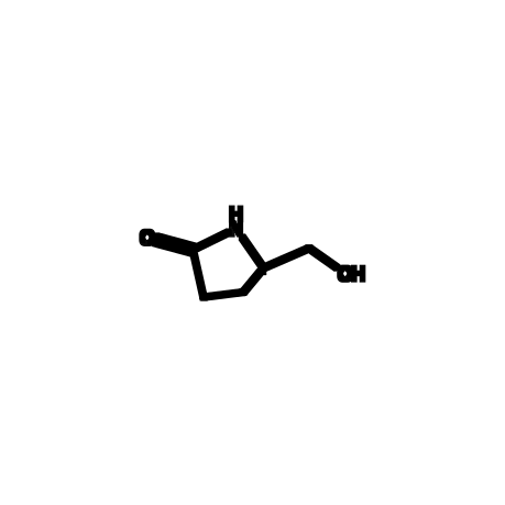 O=C1CC[C](CO)N1